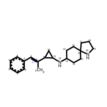 C/C(=C\c1ccccc1)C1CC1NC1CCC2(CCCN2)CC1